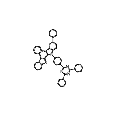 c1ccc(-c2ccc3c(c2)c2c4ccccc4c4c5ccccc5sc4c2n3-c2ccc(-c3nc(-c4ccccc4)nc(-c4ccccc4)n3)cc2)cc1